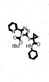 CC(C)(C)OC(=O)n1c(SC2(C(=O)NC3C=CC=CC3)CC2)nnc1-c1ccccn1